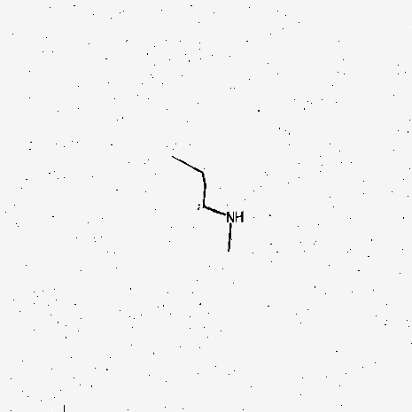 CC[C]NC